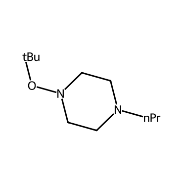 CCCN1CCN(OC(C)(C)C)CC1